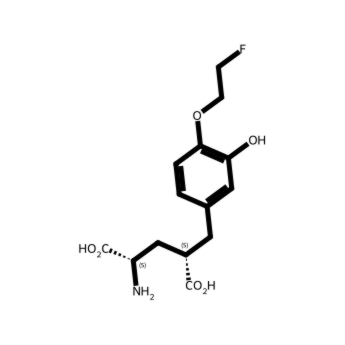 N[C@@H](C[C@H](Cc1ccc(OCCF)c(O)c1)C(=O)O)C(=O)O